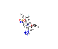 CCS(=O)(=O)N[C@H]1CC[C@H](N(C)c2cc(-n3cnnn3)ccc2OC)[C@@H]1c1ccc(F)cc1